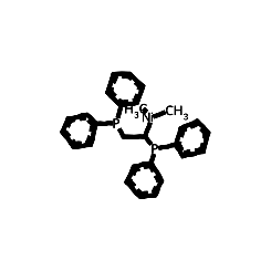 [CH3][Ni]([CH3])[CH](CP(c1ccccc1)c1ccccc1)P(c1ccccc1)c1ccccc1